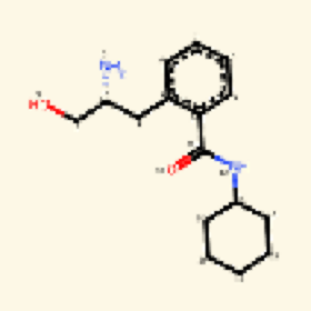 N[C@@H](CO)Cc1ccccc1C(=O)NC1CCCCC1